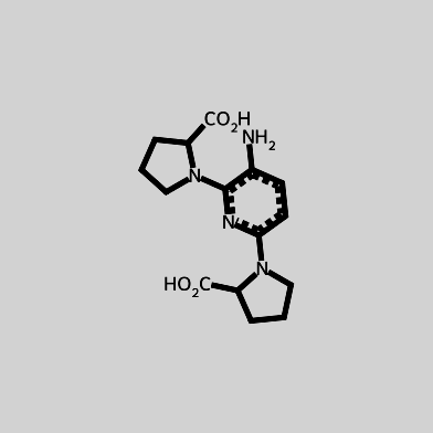 Nc1ccc(N2CCCC2C(=O)O)nc1N1CCCC1C(=O)O